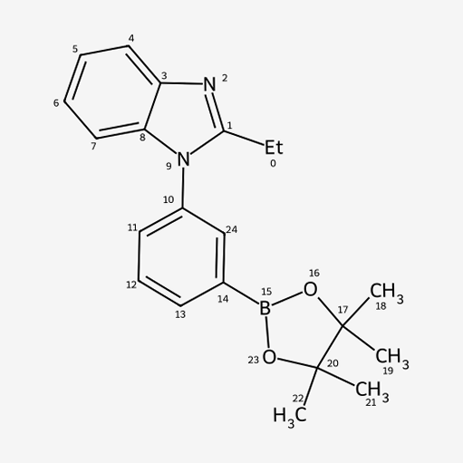 CCc1nc2ccccc2n1-c1cccc(B2OC(C)(C)C(C)(C)O2)c1